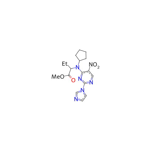 CCC(C(=O)OC)N(c1nc(-n2ccnc2)ncc1[N+](=O)[O-])C1CCCC1